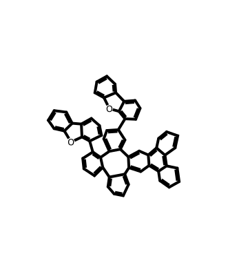 c1ccc2c(c1)-c1cc3c4ccccc4c4ccccc4c3cc1-c1cc(-c3cccc4c3oc3ccccc34)ccc1-c1c-2cccc1-c1cccc2c1oc1ccccc12